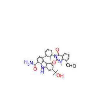 Cc1c(-c2ccc(C(N)=O)c3[nH]c4cc(C(C)(C)O)ccc4c23)cccc1-n1c(=O)c2cccc(C=O)c2n(C)c1=O